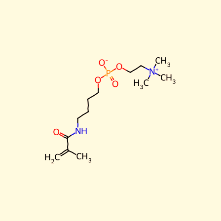 C=C(C)C(=O)NCCCCOP(=O)([O-])OCC[N+](C)(C)C